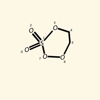 O=S1(=O)OCCOO1